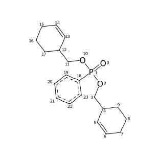 O=P(OCC1C=CCCC1)(OCC1C=CCCC1)c1ccccc1